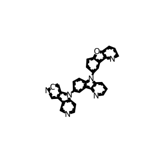 c1cnc2c(c1)oc1ccc(-n3c4ccc(-n5c6ccncc6c6cnccc65)cc4c4ncccc43)cc12